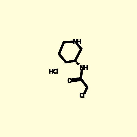 Cl.O=C(CCl)N[C@@H]1CCCNC1